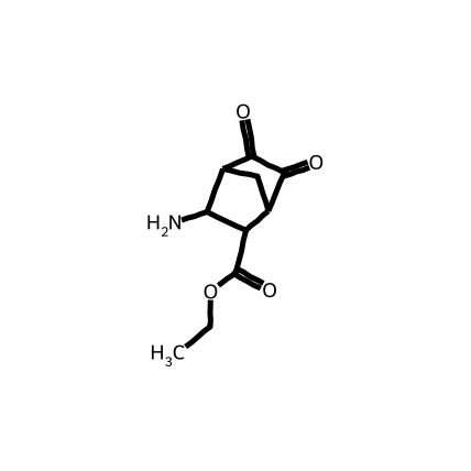 CCOC(=O)C1C2CC(C(=O)C2=O)C1N